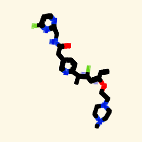 C=C/C(=C\C(F)=C(/C)c1ccc(CC(=O)NCc2nccc(F)n2)cn1)OCCN1CCN(C)CC1